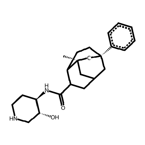 C[C@]12CC3CC(C(=O)N[C@@H]4CCNC[C@H]4O)C1CC[C@@](c1ccccc1)(C3)C2